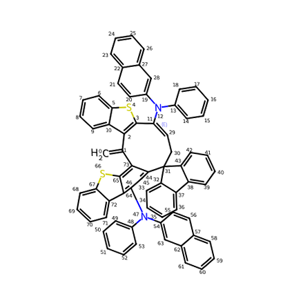 C=C1c2c(sc3ccccc23)/C(N(c2ccccc2)c2ccc3ccccc3c2)=C\CC2(c3ccccc3-c3ccccc32)c2cc(N(c3ccccc3)c3ccc4ccccc4c3)c3c(sc4ccccc43)c21